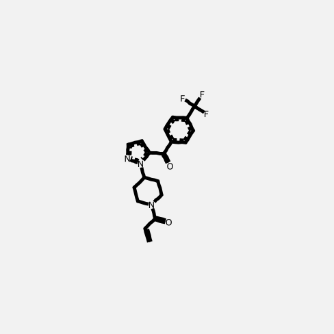 C=CC(=O)N1CCC(n2nccc2C(=O)c2ccc(C(F)(F)F)cc2)CC1